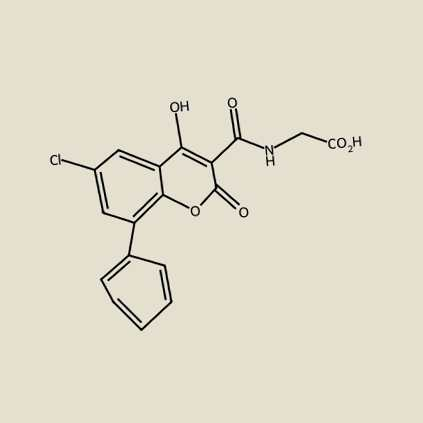 O=C(O)CNC(=O)c1c(O)c2cc(Cl)cc(-c3ccccc3)c2oc1=O